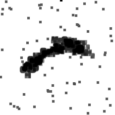 COc1cc2nc(C)nc(N[C@H](C)c3cc(N)cc(C(F)(F)F)c3)c2cc1OCC1(CN(C)C(=O)CCCNC(=O)CNc2ccc3c(c2)C(=O)N(C2CCC(=O)NC2=O)C3=O)CC1